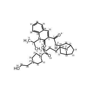 CC(C)n1c(=O)c(C(=O)NC2CC3CCC(C2)N3CCCS(=O)(=O)N2CCN(CCO)CC2)cc2ccccc21